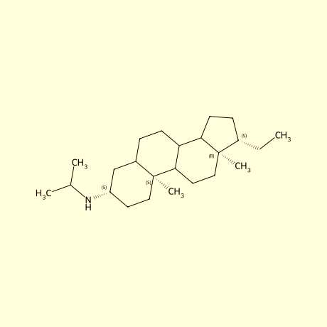 CC[C@H]1CCC2C3CCC4C[C@@H](NC(C)C)CC[C@]4(C)C3CC[C@@]21C